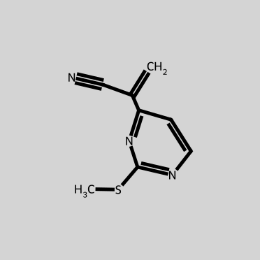 C=C(C#N)c1ccnc(SC)n1